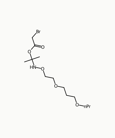 CCCOCCCOCCONC(C)(C)OC(=O)CBr